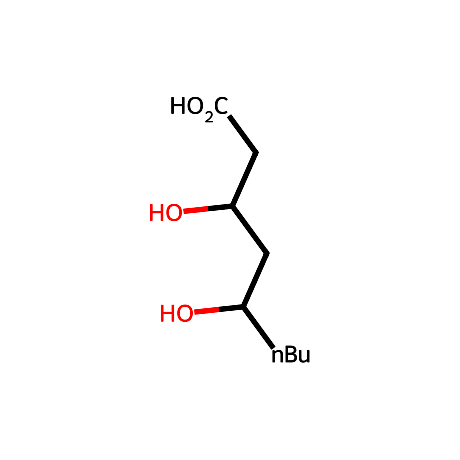 CCCCC(O)CC(O)CC(=O)O